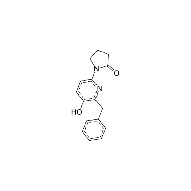 O=C1CCCN1c1ccc(O)c(Cc2ccccc2)n1